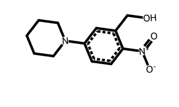 O=[N+]([O-])c1ccc(N2CCCCC2)cc1CO